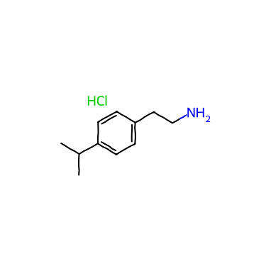 CC(C)c1ccc(CCN)cc1.Cl